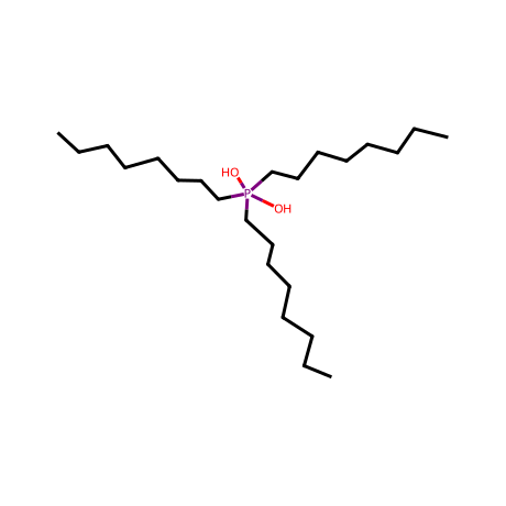 CCCCCCCCP(O)(O)(CCCCCCCC)CCCCCCCC